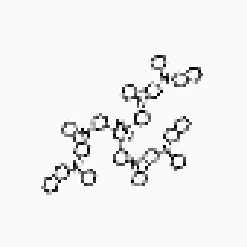 c1ccc(N(c2ccc3ccccc3c2)c2ccc3c(c2)c2ccccc2n3-c2cccc(-c3cc(-c4cccc(-n5c6ccccc6c6cc(N(c7ccccc7)c7ccc8ccccc8c7)ccc65)c4)nc(-c4cccc(-n5c6ccccc6c6cc(N(c7ccccc7)c7ccc8ccccc8c7)ccc65)c4)n3)c2)cc1